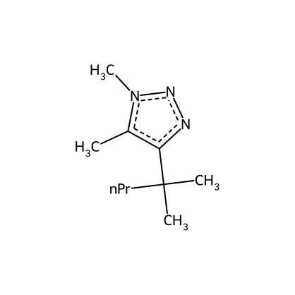 CCCC(C)(C)c1nnn(C)c1C